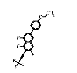 CCOc1ccc(-c2cc(F)c3c(F)c(C#CC(F)(F)F)c(F)cc3c2)cc1